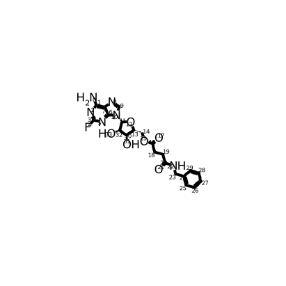 Nc1nc(F)nc2c1ncn2[C@@H]1O[C@H](COC(=O)CCC(=O)NCc2ccccc2)[C@@H](O)[C@H]1O